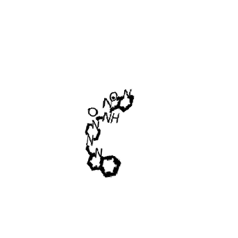 O=C(Nc1noc2ncccc12)N1CCN(Cc2ccc3ccccc3n2)CC1